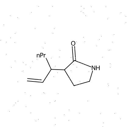 C=CC(CCC)C1CCNC1=O